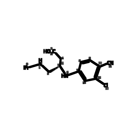 CC(C)NC[C@H](CC(=O)O)Nc1ccc(C#N)c(Cl)c1